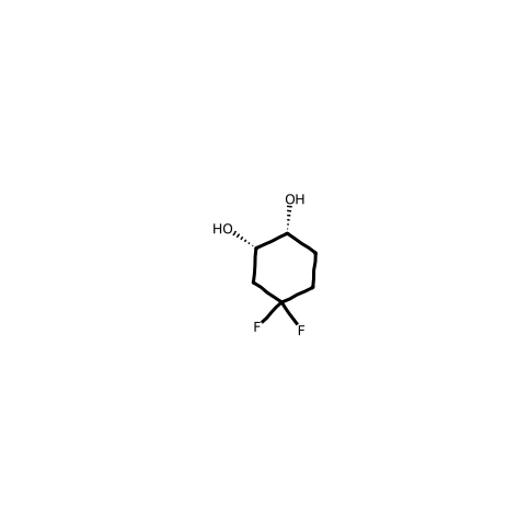 O[C@@H]1CCC(F)(F)C[C@@H]1O